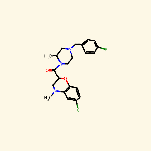 CC1CN(Cc2ccc(F)cc2)CCN1C(=O)C1CN(C)c2cc(Cl)ccc2O1